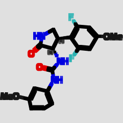 COc1cccc(NC(=O)N[C@@H]2C(=O)NC[C@H]2c2c(F)cc(OC)cc2F)c1